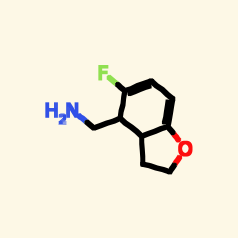 NCC1C(F)=CC=C2OCCC21